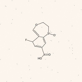 O=C(O)C1=CC(F)C2=COCC[S+]([O-])C2=C1